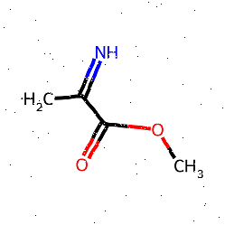 [CH2]C(=N)C(=O)OC